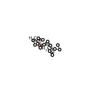 Cc1ccc2c(oc3ccccc32)c1N(c1ccc(-c2ccccc2-c2ccccc2)cc1)c1ccc2c3cccc4c5cc6c(cc5n(c2c1)c34)c1cccc2c3ccc(N(c4ccccc4-c4ccccc4)c4c(C)ccc5c4oc4ccccc45)cc3n6c21